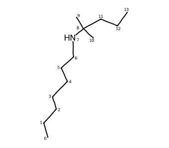 CCCCCCCNC(C)(C)CCC